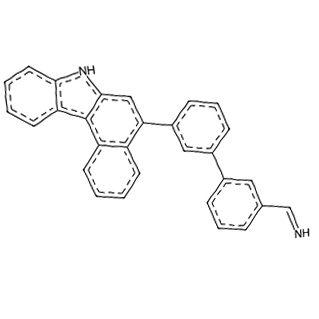 N=Cc1cccc(-c2cccc(-c3cc4[nH]c5ccccc5c4c4ccccc34)c2)c1